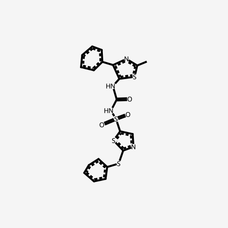 Cc1nc(-c2ccccc2)c(NC(=O)NS(=O)(=O)c2cnc(Sc3ccccc3)s2)s1